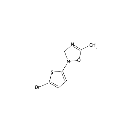 CC1=NCN(c2ccc(Br)s2)O1